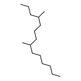 CCCCCCC(C)CCCC(C)CCC